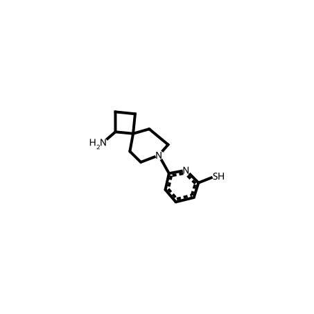 NC1CCC12CCN(c1cccc(S)n1)CC2